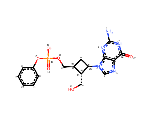 Nc1nc2c(ncn2[C@@H]2C[C@H](COP(=O)(O)Oc3ccccc3)[C@H]2CO)c(=O)[nH]1